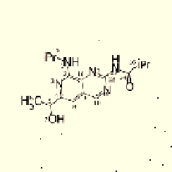 CC(C)Nc1nc(C(C)O)cc2cnc(NC(=O)C(C)C)nc12